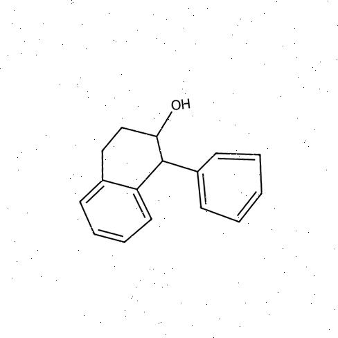 OC1CCc2ccccc2C1c1ccccc1